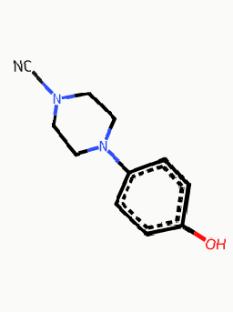 N#CN1CCN(c2ccc(O)cc2)CC1